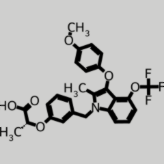 COc1ccc(Oc2c(C)n(Cc3cccc(O[C@H](C)C(=O)O)c3)c3cccc(OC(F)(F)F)c23)cc1